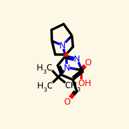 CC(C)(C)N(C(=O)O)C1CC2CCC(C1)N2c1ccc(C=O)cn1